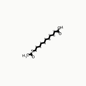 CC(=O)SCCCCCCCCCCC(=O)O